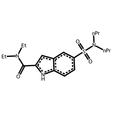 CCCN(CCC)S(=O)(=O)c1ccc2[nH]c(C(=O)N(CC)CC)cc2c1